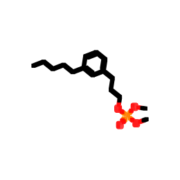 CCCCCc1cccc(CCCOP(=O)(OC)OC)c1